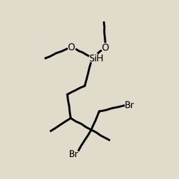 CO[SiH](CCC(C)C(C)(Br)CBr)OC